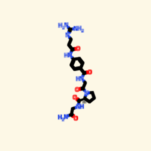 NC(=O)CNC(=O)[C@@H]1CCCN1C(=O)CNC(=O)c1ccc(NC(=O)CCN=C(N)N)cc1